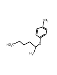 CC(CCCC(=O)O)Oc1ccc([N+](=O)[O-])cc1